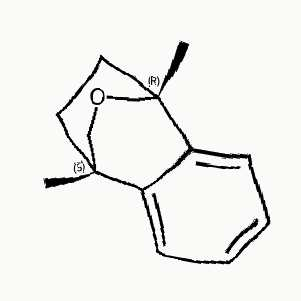 C[C@]12CC[C@](C)(O1)c1ccccc12